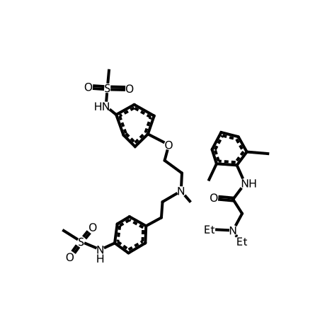 CCN(CC)CC(=O)Nc1c(C)cccc1C.CN(CCOc1ccc(NS(C)(=O)=O)cc1)CCc1ccc(NS(C)(=O)=O)cc1